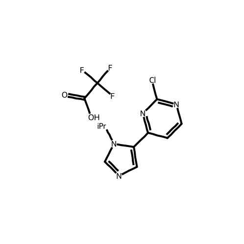 CC(C)n1cncc1-c1ccnc(Cl)n1.O=C(O)C(F)(F)F